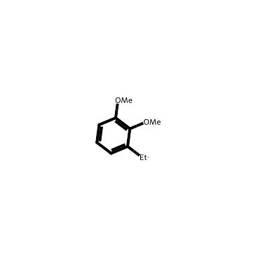 C[CH]c1cccc(OC)c1OC